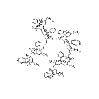 CC(C)=CC(CC(C)=CC(CC(C)=CC=CC=C(C)CC(C=C(C)CC(C=C(C)C)S(=O)(=O)c1ccccc1)S(=O)(=O)c1ccccc1)S(=O)(=O)c1ccccc1)S(=O)(=O)c1ccccc1.CC(C)=CC(CC(C)=CC(CC(C)=CCS(=O)(=O)CC=C(C)CC(C=C(C)CC(C=C(C)C)S(=O)(=O)c1ccccc1)S(=O)(=O)c1ccccc1)S(=O)(=O)c1ccccc1)S(=O)(=O)c1ccccc1